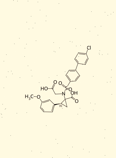 COc1cccc([C@@H]2CC2(C(=O)O)N(CC(=O)O)S(=O)(=O)c2ccc(-c3ccc(Cl)cc3)cc2)c1